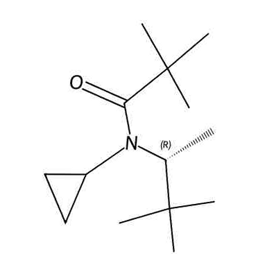 C[C@@H](N(C(=O)C(C)(C)C)C1CC1)C(C)(C)C